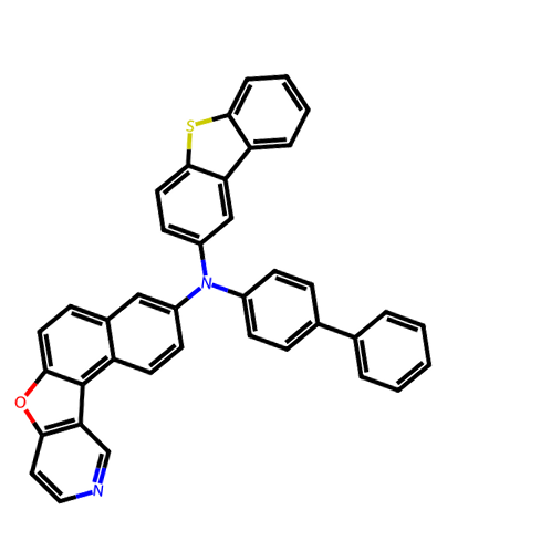 c1ccc(-c2ccc(N(c3ccc4c(ccc5oc6ccncc6c54)c3)c3ccc4sc5ccccc5c4c3)cc2)cc1